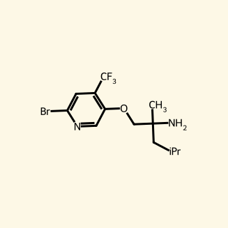 CC(C)CC(C)(N)COc1cnc(Br)cc1C(F)(F)F